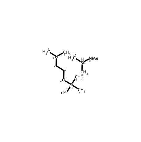 CCC[Si](C)(C)OCCN(C)C.CN[SiH](C)C